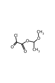 COC(C)OC(=O)C(=O)Cl